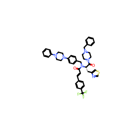 O=C([C@H](Cc1cscn1)N(Cc1ccc(N2CCN(c3ccccc3)CC2)cc1)C(=O)/C=C/c1ccc(C(F)(F)F)cc1)N1CCN(Cc2ccccc2)CC1